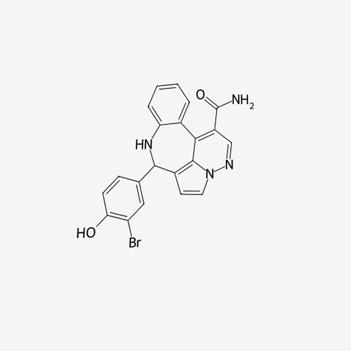 NC(=O)c1cnn2ccc3c2c1-c1ccccc1NC3c1ccc(O)c(Br)c1